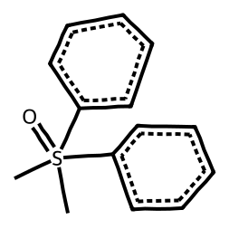 CS(C)(=O)(c1ccccc1)c1ccccc1